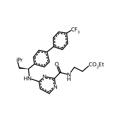 CCOC(=O)CCNC(=O)c1nccc(N[C@@H](CC(C)C)c2ccc(-c3ccc(C(F)(F)F)cc3)cc2)n1